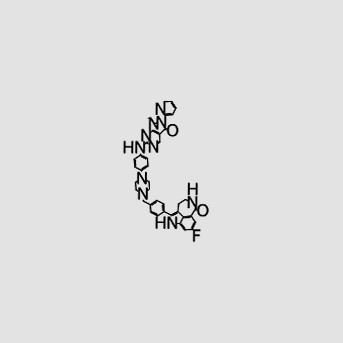 Cn1c2nc(Nc3ccc(N4CCN(Cc5ccc(-c6[nH]c7cc(F)cc8c7c6CCNC8=O)cc5)CC4)cc3)ncc2c(=O)n1-c1ccccn1